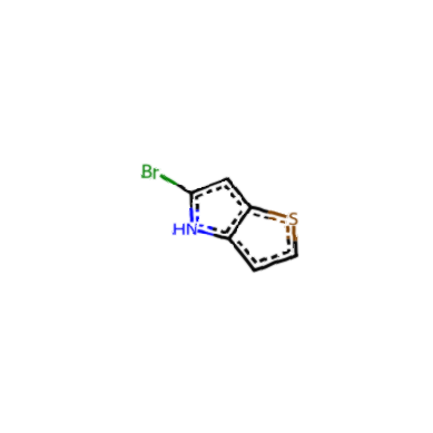 Brc1cc2sccc2[nH]1